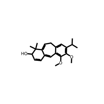 COc1c(C(C)C)cc2c(c1OC)C=C1C=CC(O)C(C)(C)C1=CC2